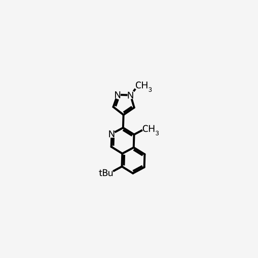 Cc1c(-c2cnn(C)c2)ncc2c(C(C)(C)C)cccc12